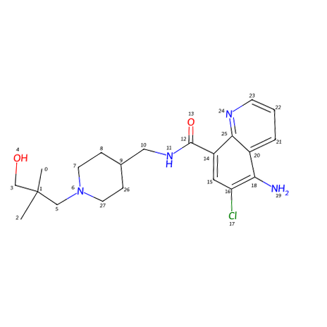 CC(C)(CO)CN1CCC(CNC(=O)c2cc(Cl)c(N)c3cccnc23)CC1